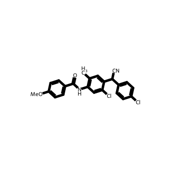 COc1ccc(C(=O)Nc2cc(Cl)c(C(C#N)c3ccc(Cl)cc3)cc2C)cc1